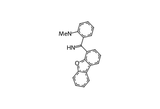 CNc1ccccc1C(=N)c1cccc2c1oc1ccccc12